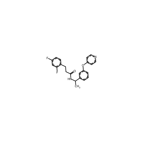 CC(NC(=O)CCc1ccc(F)cc1F)c1cccc(Oc2ccncc2)c1